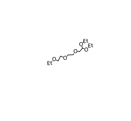 CCOCCOCCOCC(OCC)OCC